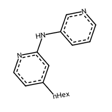 CCCCCCc1ccnc(Nc2cccnc2)c1